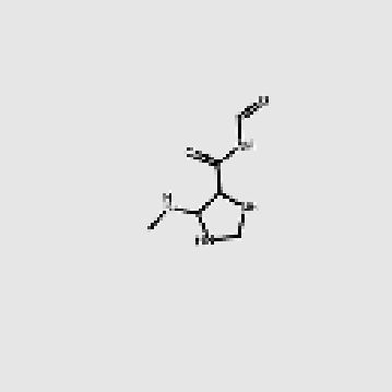 CNC1NCNC1C(=O)NC=O